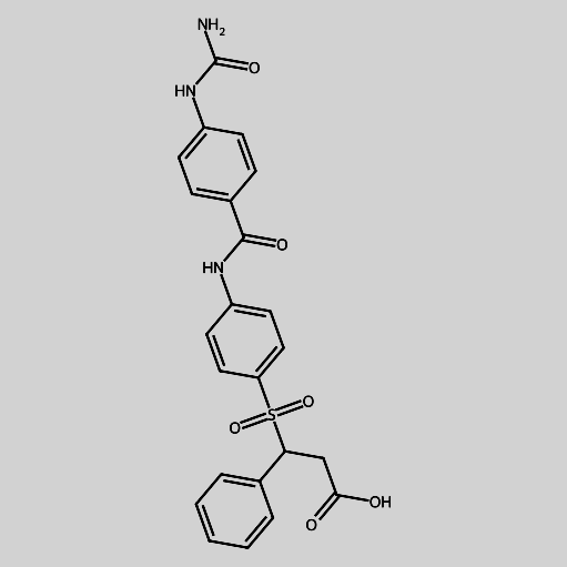 NC(=O)Nc1ccc(C(=O)Nc2ccc(S(=O)(=O)C(CC(=O)O)c3ccccc3)cc2)cc1